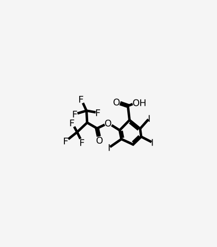 O=C(O)c1c(I)c(I)cc(I)c1OC(=O)C(C(F)(F)F)C(F)(F)F